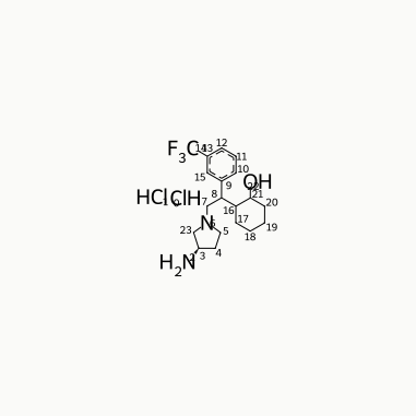 Cl.Cl.N[C@@H]1CCN(CC(c2cccc(C(F)(F)F)c2)C2CCCCC2O)C1